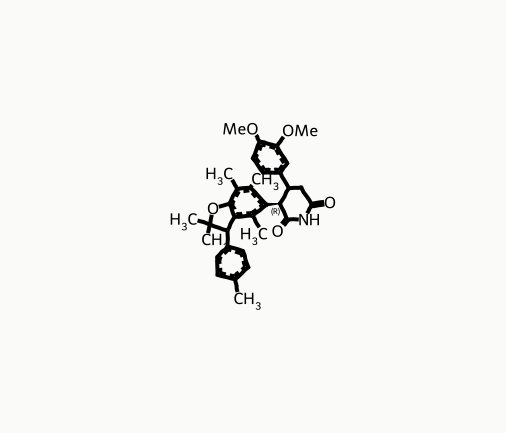 COc1ccc(C2CC(=O)NC(=O)[C@H]2c2c(C)c(C)c3c(c2C)C(c2ccc(C)cc2)C(C)(C)O3)cc1OC